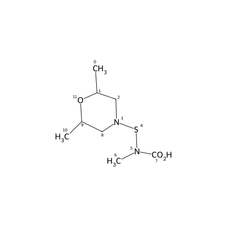 CC1CN(SN(C)C(=O)O)CC(C)O1